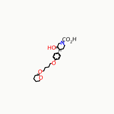 O=C(O)N1CC[C@H](c2ccc(OCCCCO[C@@H]3CCCCO3)cc2)[C@@H](O)C1